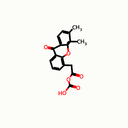 Cc1ccc2c(=O)c3cccc(CC(=O)OC(=O)O)c3oc2c1C